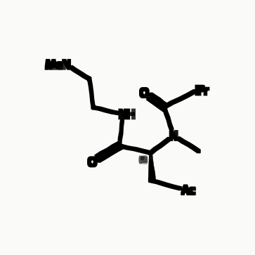 CNCCNC(=O)[C@H](CC(C)=O)N(C)C(=O)C(C)C